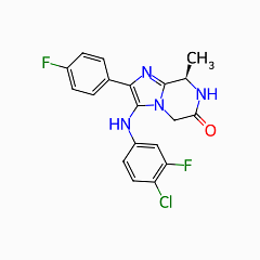 C[C@H]1NC(=O)Cn2c1nc(-c1ccc(F)cc1)c2Nc1ccc(Cl)c(F)c1